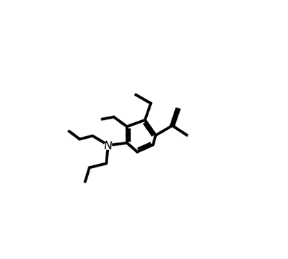 C=C(C)c1ccc(N(CCC)CCC)c(CC)c1CC